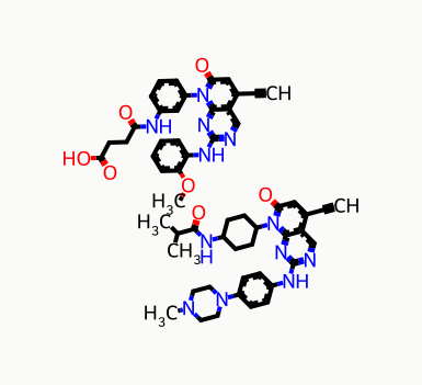 C#Cc1cc(=O)n(-c2cccc(NC(=O)CCC(=O)O)c2)c2nc(Nc3ccccc3OC)ncc12.C#Cc1cc(=O)n(C2CCC(NC(=O)C(C)C)CC2)c2nc(Nc3ccc(N4CCN(C)CC4)cc3)ncc12